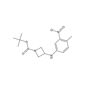 Cc1ccc(NC2CN(C(=O)OC(C)(C)C)C2)cc1[N+](=O)[O-]